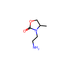 CC1COC(=O)N1CCN